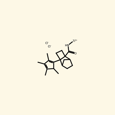 CC1=C(C)C(C)C(C23CCC2(C(=O)[NH][Ti+2])C2CCC3C2)=C1C.[Cl-].[Cl-]